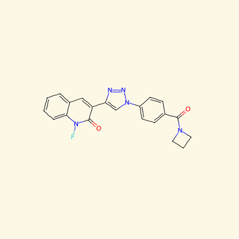 O=C(c1ccc(-n2cc(-c3cc4ccccc4n(F)c3=O)nn2)cc1)N1CCC1